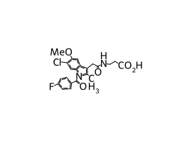 COc1cc2c(CC(=O)NCCC(=O)O)c(C)n(C(=O)c3ccc(F)cc3)c2cc1Cl